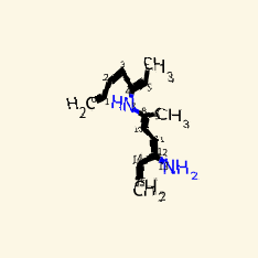 C=C/C=C\C(=C/C)N/C(C)=C/C=C(/N)C=C